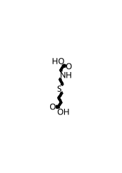 O=C(O)CCCSCCNCC(=O)O